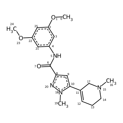 COc1cc(NC(=O)c2cc(C3=CCCN(C)C3)n(C)n2)cc(OC)c1